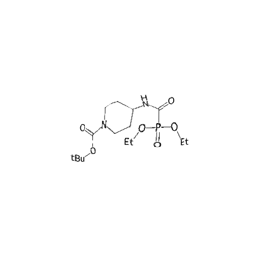 CCOP(=O)(OCC)C(=O)NC1CCN(C(=O)OC(C)(C)C)CC1